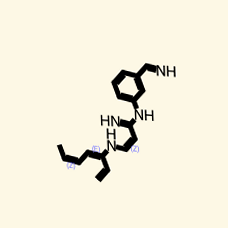 C=C/C(=C\C=C/C)N/C=C\C(=N)Nc1cccc(C=N)c1